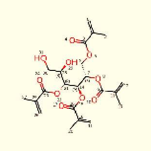 C=C(C)C(=O)OC[C@H](OC(=O)C(=C)C)[C@@H](OC(=O)C(=C)C)[C@H](OC(=O)C(=C)C)[C@H](O)CO